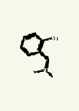 CN(C)Cc1[c]cccc1O